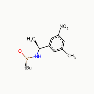 Cc1cc([C@H](C)N[S@+]([O-])C(C)(C)C)cc([N+](=O)[O-])c1